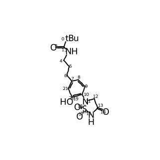 CC(C)(C)C(=O)NCCCc1ccc(N2CC(=O)NS2(=O)=O)c(O)c1